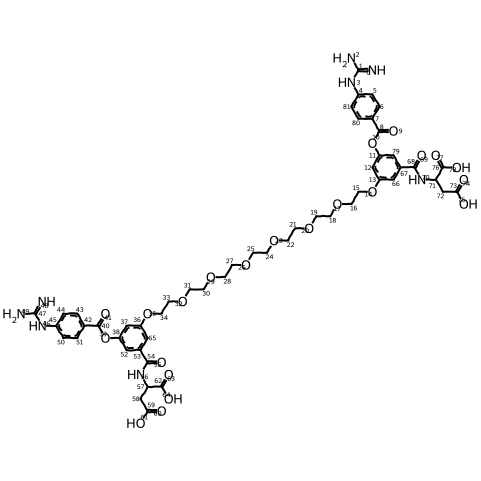 N=C(N)Nc1ccc(C(=O)Oc2cc(OCCOCCOCCOCCOCCOCCOCCOc3cc(OC(=O)c4ccc(NC(=N)N)cc4)cc(C(=O)NC(CC(=O)O)C(=O)O)c3)cc(C(=O)NC(CC(=O)O)C(=O)O)c2)cc1